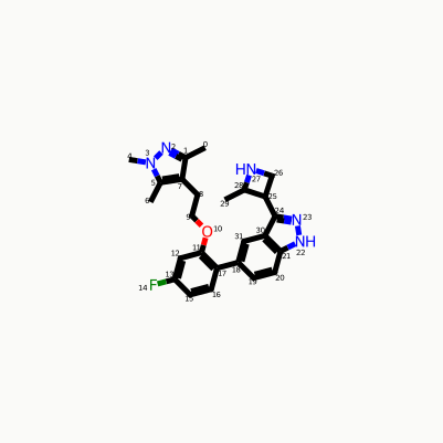 Cc1nn(C)c(C)c1CCOc1cc(F)ccc1-c1ccc2[nH]nc(C3CNC3C)c2c1